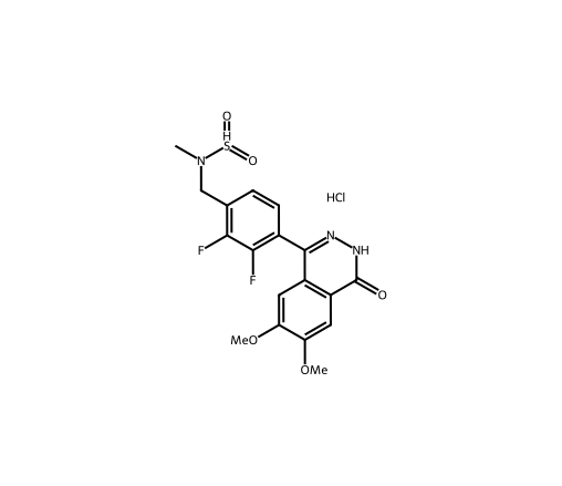 COc1cc2c(-c3ccc(CN(C)[SH](=O)=O)c(F)c3F)n[nH]c(=O)c2cc1OC.Cl